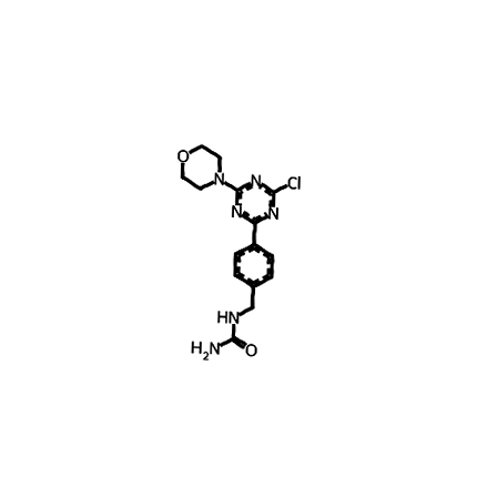 NC(=O)NCc1ccc(-c2nc(Cl)nc(N3CCOCC3)n2)cc1